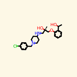 CC(O)c1ccccc1OC[C@@](C)(O)CNC1CCN(Cc2ccc(Cl)cc2)CC1